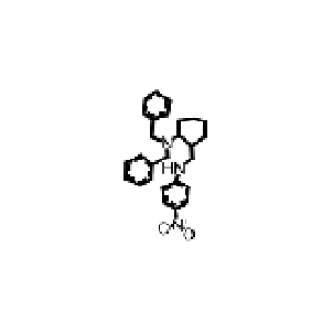 O=[N+]([O-])c1ccc(NCC2CCCCC2N(Cc2ccccc2)Cc2ccccc2)cc1